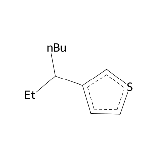 CCCCC(CC)c1ccsc1